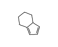 [CH]1CCCC2C=CC=C12